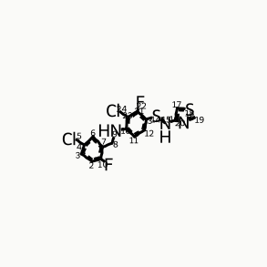 Fc1ccc(Cl)cc1CNc1ccc(SNc2cscn2)c(F)c1Cl